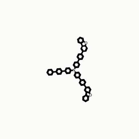 C1=CC2Oc3ccccc3C2C=C1c1ccc(-c2ccc(N(c3ccc(-c4ccc(-c5ccccc5)cc4)cc3)c3ccc(-c4ccc(-c5ccc6oc7ccccc7c6c5)cc4)cc3)cc2)cc1